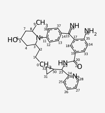 CCCC1CC(O)CC(C)N1c1ccc(C(=N)c2cc(C(=O)NC(c3ccccn3)C3CC3)ccc2N)cc1